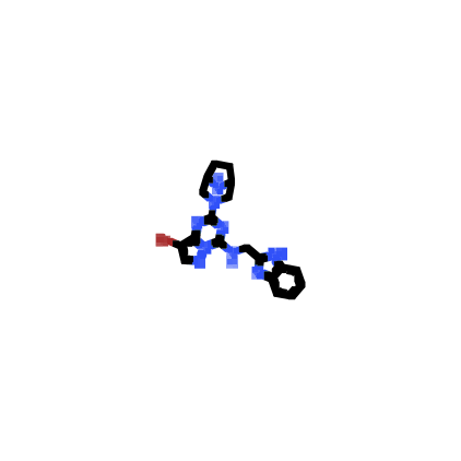 Brc1cnn2c(NCc3nc4ccccc4[nH]3)nc(N3CC4CCC(C3)N4)nc12